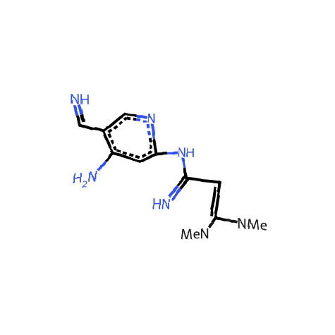 CNC(=CC(=N)Nc1cc(N)c(C=N)cn1)NC